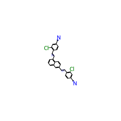 N#Cc1ccc(/C=C/c2ccc3c(/C=C/c4ccc(C#N)cc4Cl)cccc3c2)c(Cl)c1